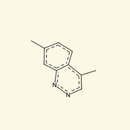 Cc1ccc2c(C)cnnc2c1